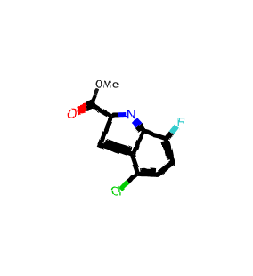 COC(=O)C1C=c2c(Cl)ccc(F)c2=N1